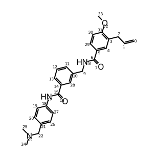 C=CCc1cc(C(=O)NCc2cccc(C(=O)Nc3ccc(CN(C)C)cc3)c2)ccc1OC